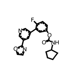 O=C(NC1CCCC1)Oc1ccc(F)c(-c2cncc(-c3ncco3)c2)c1